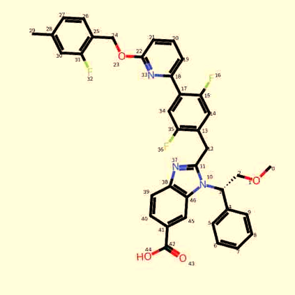 COC[C@H](c1ccccc1)n1c(Cc2cc(F)c(-c3cccc(OCc4ccc(C)cc4F)n3)cc2F)nc2ccc(C(=O)O)cc21